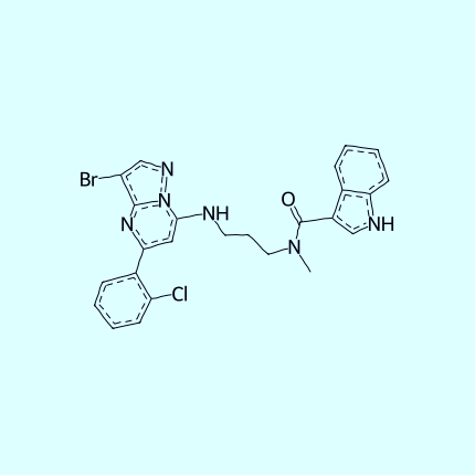 CN(CCCNc1cc(-c2ccccc2Cl)nc2c(Br)cnn12)C(=O)c1c[nH]c2ccccc12